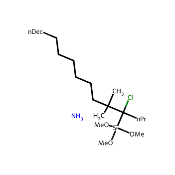 CCCCCCCCCCCCCCCCC(C)(C)C(Cl)(CCC)[Si](OC)(OC)OC.N